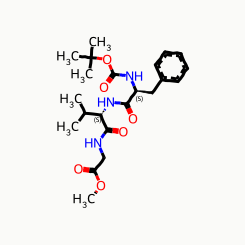 COC(=O)CNC(=O)[C@@H](NC(=O)[C@H](Cc1ccccc1)NC(=O)OC(C)(C)C)C(C)C